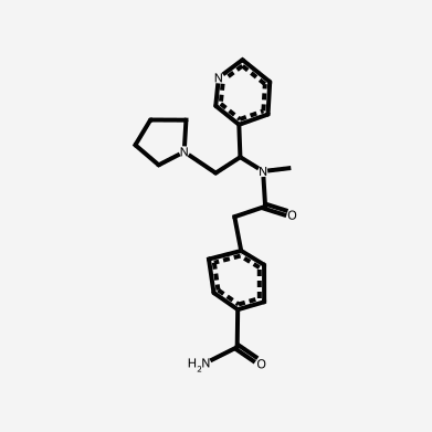 CN(C(=O)Cc1ccc(C(N)=O)cc1)C(CN1CCCC1)c1cccnc1